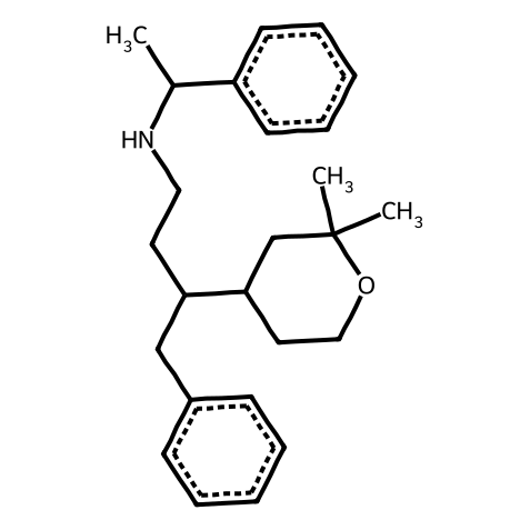 CC(NCCC(Cc1ccccc1)C1CCOC(C)(C)C1)c1ccccc1